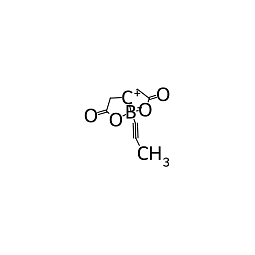 CC#C[B-]12OC(=O)C[C+]1CC(=O)O2